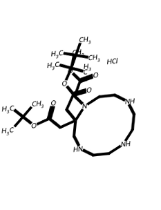 CC(C)(C)OC(=O)CN1CCNCCNCCNCC1(CC(=O)OC(C)(C)C)CC(=O)OC(C)(C)C.Cl